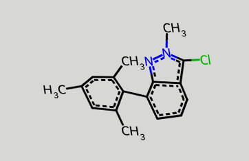 Cc1cc(C)c(-c2cccc3c(Cl)n(C)nc23)c(C)c1